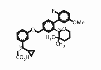 COc1ccc(F)c(-c2ccc(COc3cccc([C@@H](CC(=O)O)C4CC4)c3)cc2[C@H]2OCCCC2(C)C)c1